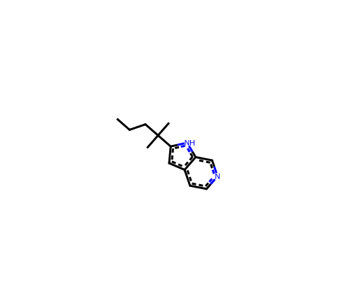 CCCC(C)(C)c1cc2ccncc2[nH]1